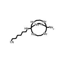 N#CCCCCCCNC12CNCCNCC(N)(CNCCNC1)CNCCNC2